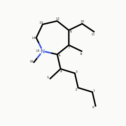 CCCCC(C)C1C(C)C(CC)CCCN1C